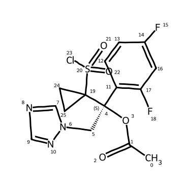 CC(=O)O[C@](Cn1cncn1)(c1ccc(F)cc1F)C1(S(=O)(=O)Cl)CC1